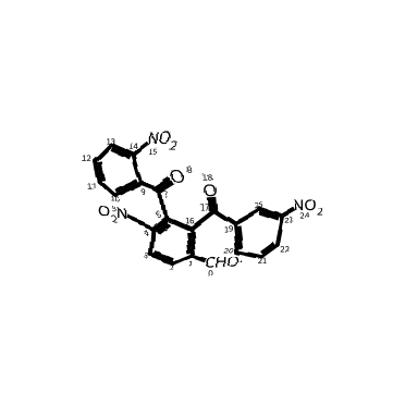 O=[C]c1ccc([N+](=O)[O-])c(C(=O)c2ccccc2[N+](=O)[O-])c1C(=O)c1cccc([N+](=O)[O-])c1